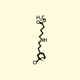 COC(=O)CCCCNCCCc1cccc(Cl)c1